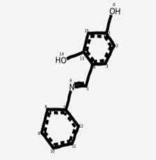 Oc1ccc(/C=N/c2ccccc2)c(O)c1